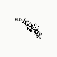 CCOC(=O)C1CCN(c2ncnc(Oc3ccc(S(C)(=O)=O)cc3)c2[N+](=O)[O-])CC1